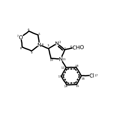 O=CC1=NC(N2CCOCC2)CN1c1cccc(Cl)c1